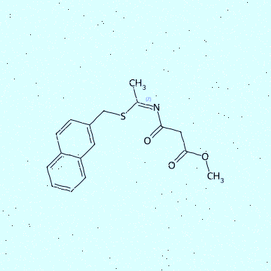 COC(=O)CC(=O)/N=C(/C)SCc1ccc2ccccc2c1